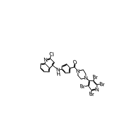 O=C(c1ccc(Nc2cc(Cl)nc3ccccc23)cc1)N1CCN(c2c(Br)c(Br)nc(Br)c2Br)CC1